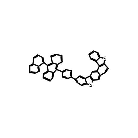 c1ccc2c(-c3c4ccccc4c(-c4ccc(-c5ccc6sc7cc8ccc9sc%10ccccc%10c9c8cc7c6c5)cc4)c4ccccc34)cccc2c1